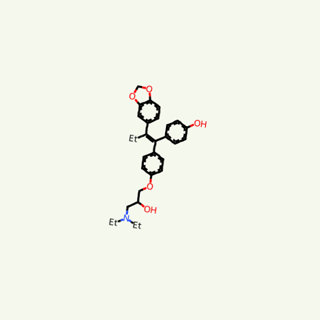 CC/C(=C(/c1ccc(O)cc1)c1ccc(OCC(O)CN(CC)CC)cc1)c1ccc2c(c1)OCO2